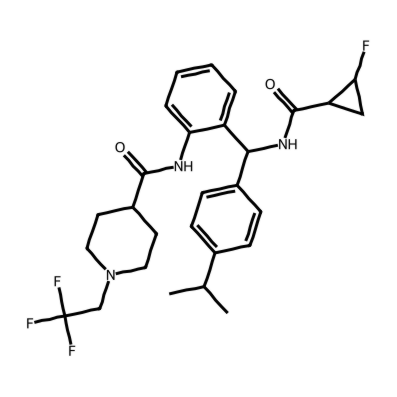 CC(C)c1ccc(C(NC(=O)C2CC2F)c2ccccc2NC(=O)C2CCN(CC(F)(F)F)CC2)cc1